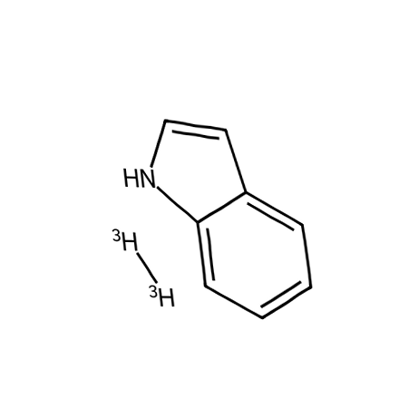 [3H][3H].c1ccc2[nH]ccc2c1